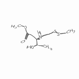 COC(=O)[C@@H](NCSSC)[C@@H](C)O